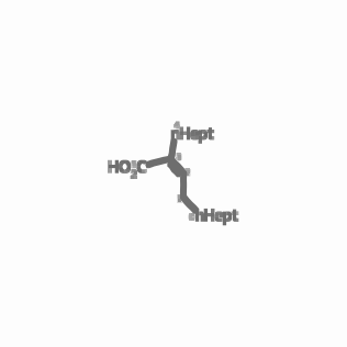 CCCCCCCCC=C(CCCCCCC)C(=O)O